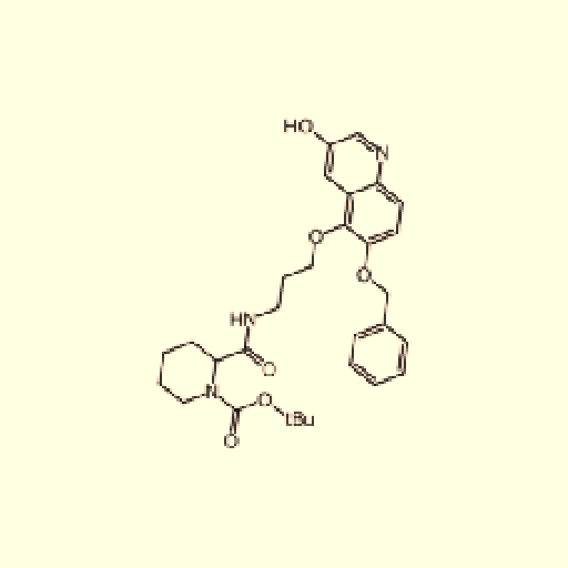 CC(C)(C)OC(=O)N1CCCCC1C(=O)NCCCOc1c(OCc2ccccc2)ccc2ncc(O)cc12